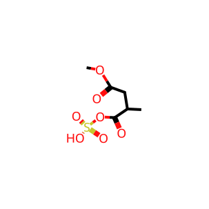 COC(=O)CC(C)C(=O)OS(=O)(=O)O